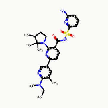 CCN(C)c1ncc(-c2ccc(C(=O)NS(=O)(=O)c3cccc(N)n3)c(N3CCC(C)C3(C)C)n2)cc1C